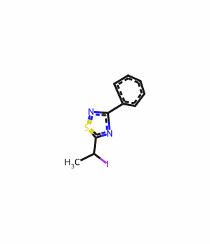 CC(I)c1nc(-c2ccccc2)ns1